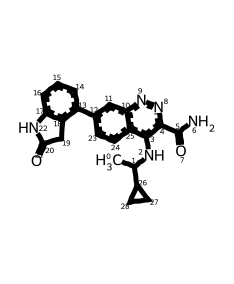 CC(Nc1c(C(N)=O)nnc2cc(-c3cccc4c3CC(=O)N4)ccc12)C1CC1